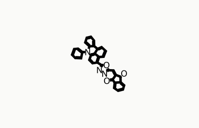 O=C1C(=Cc2nnc(-c3ccc4c5c(cccc35)-c3ccccc3N4c3ccccc3)o2)C(=O)c2ccccc21